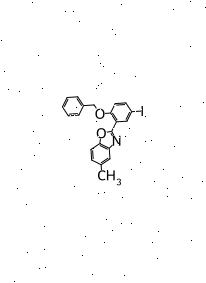 Cc1ccc2oc(-c3cc(I)ccc3OCc3ccccc3)nc2c1